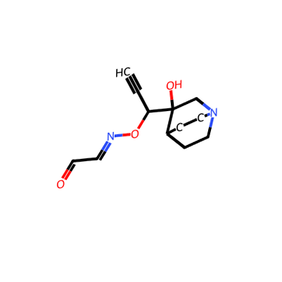 C#CC(ON=CC=O)C1(O)CN2CCC1CC2